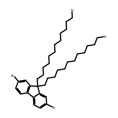 BrCCCCCCCCCCCCC1(CCCCCCCCCCCCBr)c2cc(Br)ccc2-c2ccc(Br)cc21